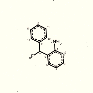 Nc1ncccc1C(F)c1ccccc1